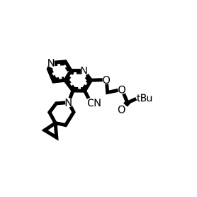 CC(C)(C)C(=O)OCOc1nc2cnccc2c(N2CCC3(CC2)CC3)c1C#N